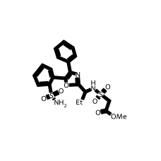 CCC(NS(=O)(=O)CC(=O)OC)c1nc(-c2ccccc2)c(-c2ccccc2S(N)(=O)=O)o1